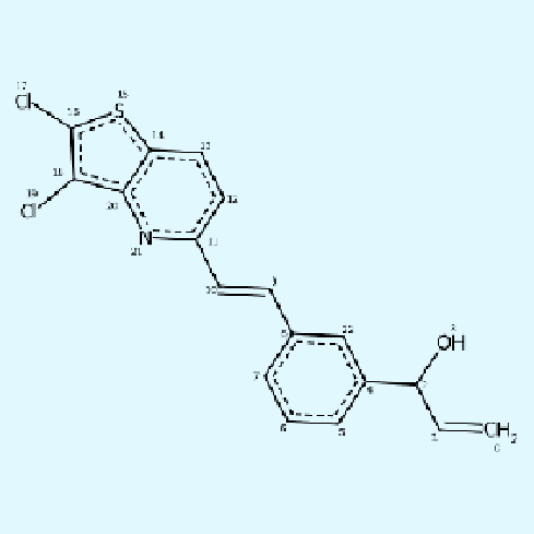 C=CC(O)c1cccc(/C=C/c2ccc3sc(Cl)c(Cl)c3n2)c1